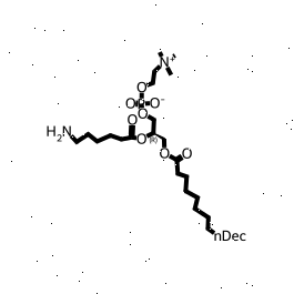 CCCCCCCCCCCCCCCCCC(=O)OC[C@H](COP(=O)([O-])OCC[N+](C)(C)C)OC(=O)CCCCCN